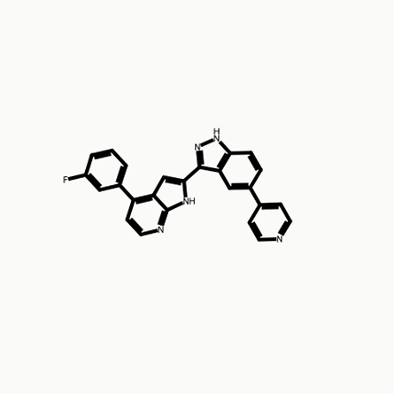 Fc1cccc(-c2ccnc3[nH]c(-c4n[nH]c5ccc(-c6ccncc6)cc45)cc23)c1